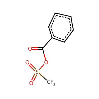 O=C(OS(=O)(=O)C(F)(F)F)c1ccccc1